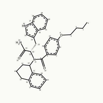 CCCCOc1ccc(C(=O)N(C2CCCc3ccccc32)[C@@H](Cc2c[nH]c3ccccc23)C(N)=O)cc1